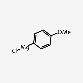 COc1cc[c]([Mg][Cl])cc1